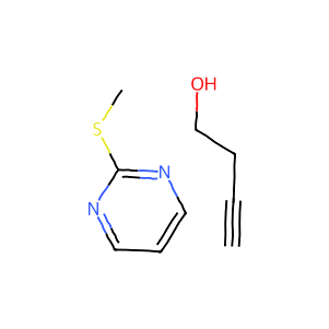 C#CCCO.CSc1ncccn1